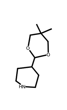 CC1(C)COC(C2CCNCC2)OC1